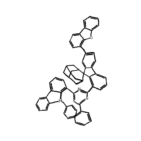 c1ccc(-c2nc(-c3cccc4c3C3(c5cc(-c6cccc7c6oc6ccccc67)ccc5-4)C4CC5CC(C4)CC3C5)nc(-c3cccc4c5ccccc5n(-c5ccccc5)c34)n2)cc1